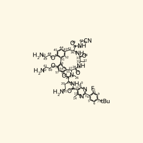 Cc1nc(-c2ccc(C(C)(C)C)cc2F)nc(C)c1C(=O)NC(CCN)C(=O)N(C)C1C(=O)NC(C)C(=O)NC(C(=O)NCC#N)Cc2ccc(OCCN)c(c2)-c2cc1ccc2OCCN